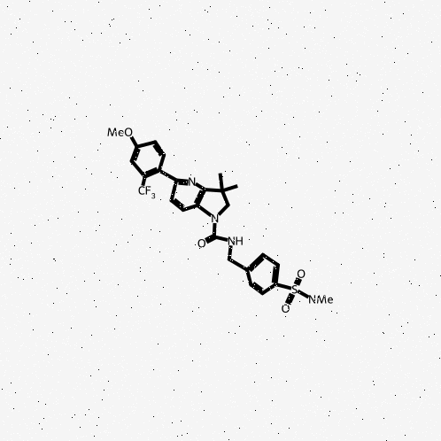 CNS(=O)(=O)c1ccc(CNC(=O)N2CC(C)(C)c3nc(-c4ccc(OC)cc4C(F)(F)F)ccc32)cc1